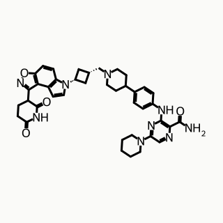 NC(=O)c1ncc(N2CCCCC2)nc1Nc1ccc(C2CCN(C[C@H]3C[C@@H](n4ccc5c6c(C7CCC(=O)NC7=O)noc6ccc54)C3)CC2)cc1